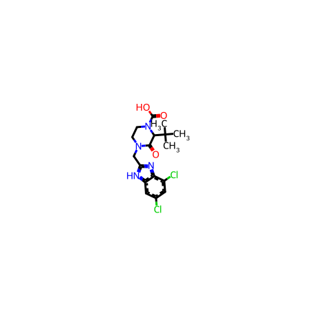 CC(C)(C)C1C(=O)N(Cc2nc3c(Cl)cc(Cl)cc3[nH]2)CCN1C(=O)O